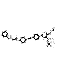 CCONC(=O)C(NC(=O)c1ccc(C#Cc2ccc(NC(=O)CNCc3ccccc3)cc2)cc1)C(C)OC(C)(C)C